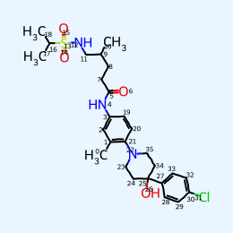 Cc1cc(NC(=O)CCC(C)CNS(=O)(=O)C(C)C)ccc1N1CCC(O)(c2ccc(Cl)cc2)CC1